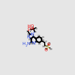 CC(C)(O)Cn1c(CO)nc2c(N)nc3cc(CCS(C)(=O)=O)ccc3c21